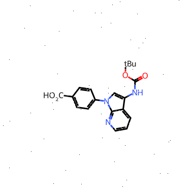 CC(C)(C)OC(=O)Nc1cn(-c2ccc(C(=O)O)cc2)c2ncccc12